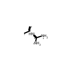 C=CC.N=C(N)N